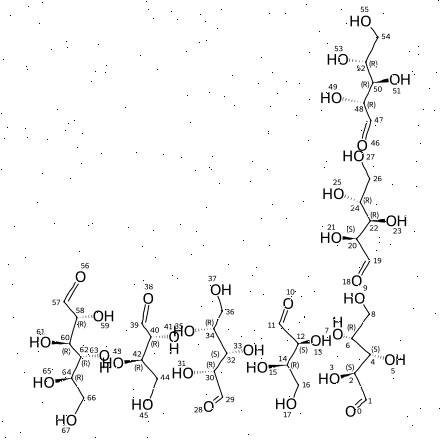 O=C[C@@H](O)[C@@H](O)[C@H](O)CO.O=C[C@@H](O)[C@H](O)CO.O=C[C@@H](O)[C@H](O)[C@H](O)CO.O=C[C@H](O)[C@@H](O)[C@H](O)CO.O=C[C@H](O)[C@H](O)CO.O=C[C@H](O)[C@H](O)[C@H](O)CO.O=C[C@H](O)[C@H](O)[C@H](O)[C@H](O)CO